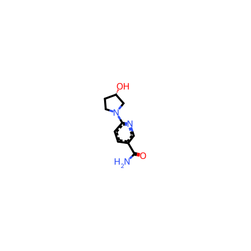 NC(=O)c1ccc(N2CC[C@H](O)C2)nc1